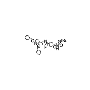 CC(C)(C)OC(=O)NCC1(O)CCN(c2ncc(-c3ccc(OCc4ccccc4)nc3OCc3ccccc3)cc2F)CC1